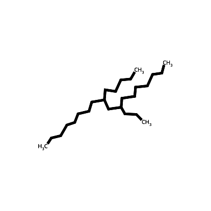 CCCCCCCCC(CCCCC)CC(CCC)CCCCCCC